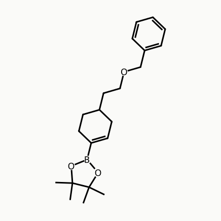 CC1(C)OB(C2=CCC(CCOCc3ccccc3)CC2)OC1(C)C